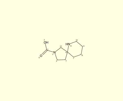 O=C(O)N1CCC2(CCCCN2)C1